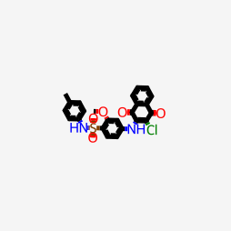 COc1cc(NC2=C(Cl)C(=O)c3ccccc3C2=O)ccc1S(=O)(=O)Nc1ccc(C)cc1